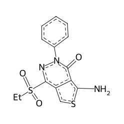 CCS(=O)(=O)c1nn(-c2ccccc2)c(=O)c2c(N)scc12